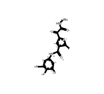 Cc1sc(C(=O)C(=O)NC(C)(C)C)cc1C(=O)Nc1cc(F)c(F)c(F)c1